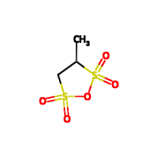 CC1CS(=O)(=O)OS1(=O)=O